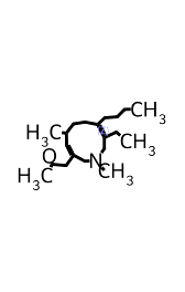 CCCC/C1=C(\CC)CN(C)CC(CC(C)=O)=CC(C)CC1